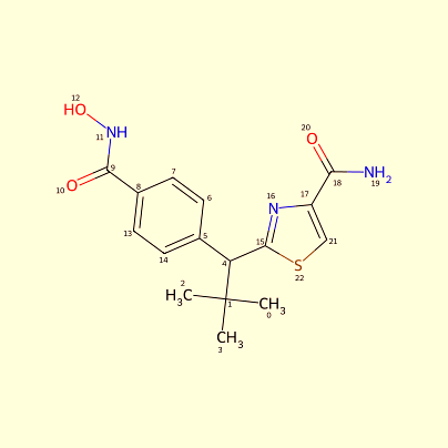 CC(C)(C)C(c1ccc(C(=O)NO)cc1)c1nc(C(N)=O)cs1